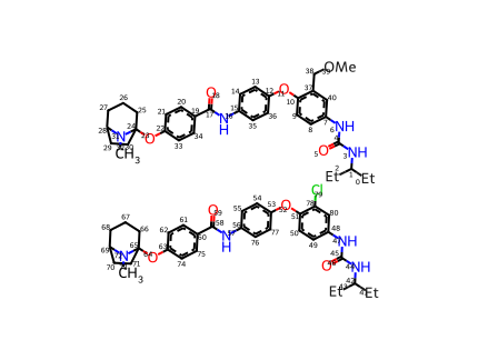 CCC(CC)NC(=O)Nc1ccc(Oc2ccc(NC(=O)c3ccc(OC45CCCC(CC4)N5C)cc3)cc2)c(COC)c1.CCC(CC)NC(=O)Nc1ccc(Oc2ccc(NC(=O)c3ccc(OC45CCCC(CC4)N5C)cc3)cc2)c(Cl)c1